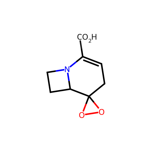 O=C(O)C1=CCC2(OO2)C2CCN12